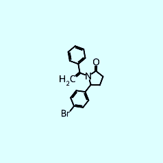 C=C(c1ccccc1)N1C(=O)CCC1c1ccc(Br)cc1